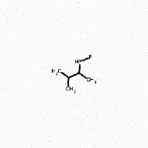 CC(C)C(C)PF